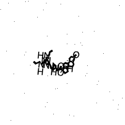 C=CCNc1nc(NCC=C)nc(N2CCN(CC(=O)[C@@]3(O)CC[C@H]4[C@@H]5CCC6=CC(=O)CC[C@]6(C)C5=CC[C@@]43C)CC2)n1